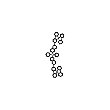 c1ccc([Si](c2ccccc2)(c2ccc3cc(-c4ccc5c(c4)C4(c6ccccc6-c6ccccc64)c4ccccc4-5)ccc3c2)c2ccc3cc(-c4ccc5c(c4)C4(c6ccccc6-c6ccccc64)c4ccccc4-5)ccc3c2)cc1